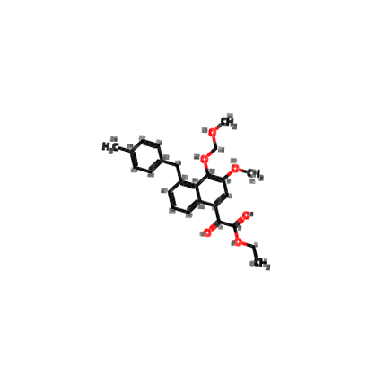 CCOC(=O)C(=O)c1cc(OC)c(OCOC)c2c(Cc3ccc(C)cc3)cccc12